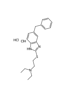 CCN(CC)CCSc1nc2cc(Cc3ccccc3)ccc2[nH]1.Cl.Cl